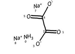 N.O=C([O-])C(=O)[O-].[Na+].[Na+]